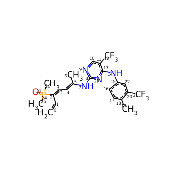 C=C/C(=C\C=C(/C)Nc1ncc(C(F)(F)F)c(Nc2ccc(C)c(C(F)(F)F)c2)n1)P(C)(C)=O